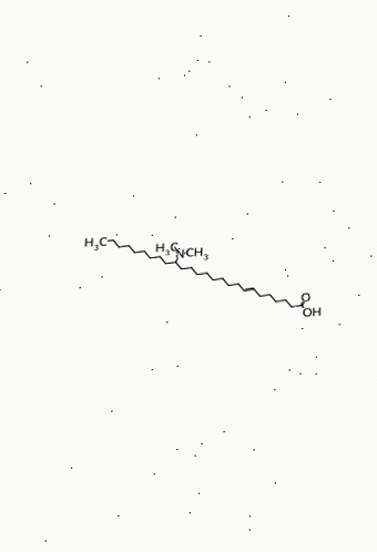 CCCCCCCCCC(CCCCCCCCC=CCCCCCC(=O)O)N(C)C